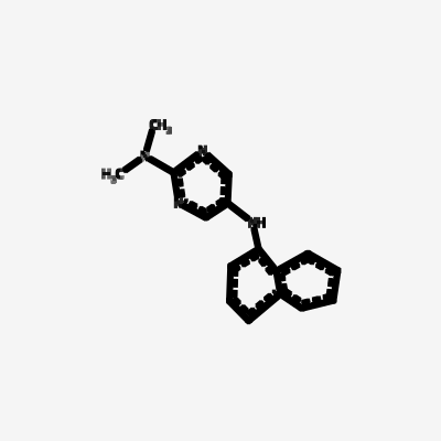 CN(C)c1ncc(Nc2cccc3ccccc23)cn1